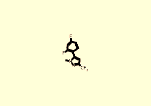 Cn1nc(C(F)(F)F)cc1-c1ccc(F)cc1F